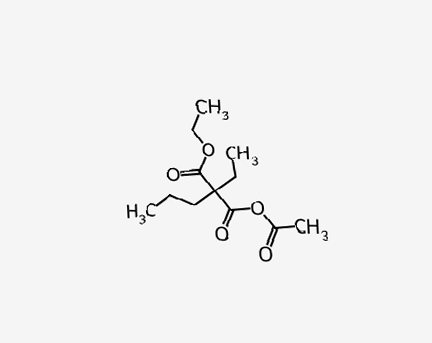 CCCC(CC)(C(=O)OCC)C(=O)OC(C)=O